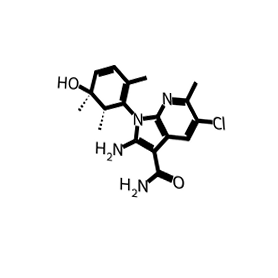 CC1=C(n2c(N)c(C(N)=O)c3cc(Cl)c(C)nc32)[C@H](C)[C@@](C)(O)C=C1